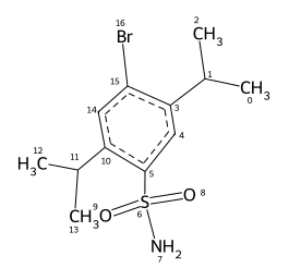 CC(C)c1cc(S(N)(=O)=O)c(C(C)C)cc1Br